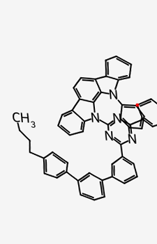 CCCCc1ccc(-c2cccc(-c3cccc(-c4nc(-c5ccccc5)nc(-n5c6ccccc6c6ccc7c8ccccc8n(-c8ccccc8)c7c65)n4)c3)c2)cc1